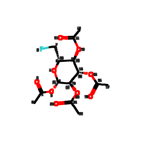 CC(=O)O[C@@H]1O[C@H](CF)[C@@H](OC(C)=O)[C@H](OC(C)=O)[C@H]1OC(C)=O